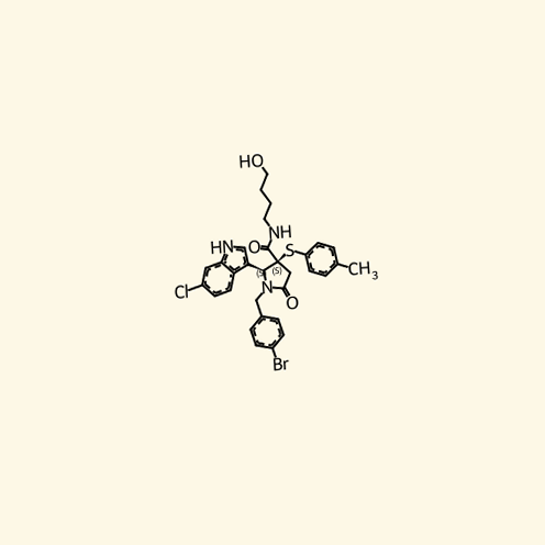 Cc1ccc(S[C@@]2(C(=O)NCCCCO)CC(=O)N(Cc3ccc(Br)cc3)[C@H]2c2c[nH]c3cc(Cl)ccc23)cc1